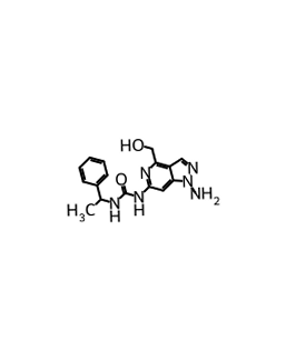 CC(NC(=O)Nc1cc2c(cnn2N)c(CO)n1)c1ccccc1